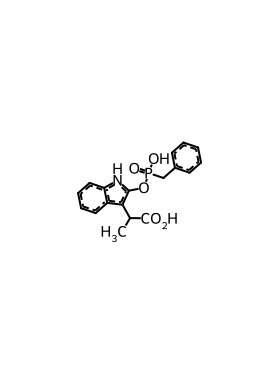 CC(C(=O)O)c1c(OP(=O)(O)Cc2ccccc2)[nH]c2ccccc12